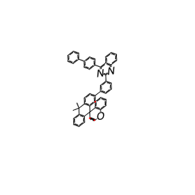 CC1(C)c2ccccc2C2(c3ccccc3Oc3ccccc32)c2cc(-c3cccc(-c4nc(-c5ccc(-c6ccccc6)cc5)c5ccccc5n4)c3)ccc21